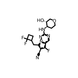 N#Cc1c(F)c2cnc(N[C@@H]3CCOC[C@H]3O)nn2c1CC1CCC1(F)F